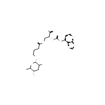 CC1O[C@@H](O[C@H](C)CCC(=O)O[C@H](C)[C@H](NC(=O)Nc2ccnc3[nH]cnc23)C(=O)O)C(O)C[C@H]1O